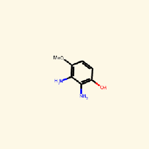 COc1ccc(O)c(N)c1N